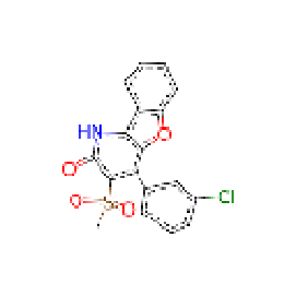 CS(=O)(=O)c1c(-c2cccc(Cl)c2)c2oc3ccccc3c2[nH]c1=O